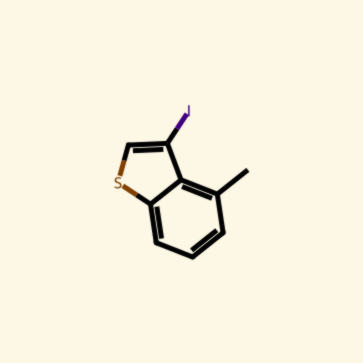 Cc1cccc2scc(I)c12